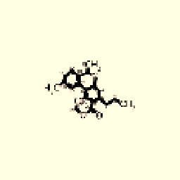 C=C1Oc2cc(CCC)c3c(c2-c2cc(C)ccc21)OCOC3=O